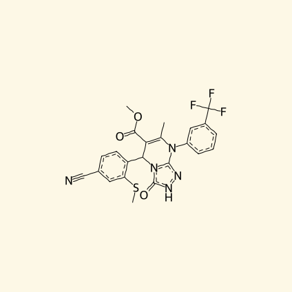 COC(=O)C1=C(C)N(c2cccc(C(F)(F)F)c2)c2n[nH]c(=O)n2C1c1ccc(C#N)cc1SC